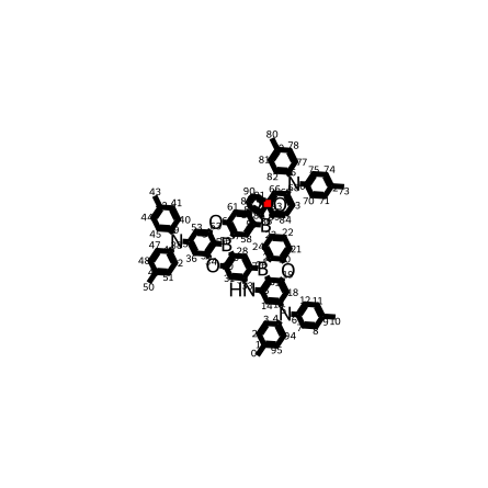 Cc1ccc(N(c2ccc(C)cc2)c2cc3c4c(c2)Oc2ccccc2B4c2cc4c(cc2N3)Oc2cc(N(c3ccc(C)cc3)c3ccc(C)cc3)cc3c2B4c2cc4c(cc2O3)Oc2cc(N(c3ccc(C)cc3)c3ccc(C)cc3)cc3c2B4c2ccccc2O3)cc1